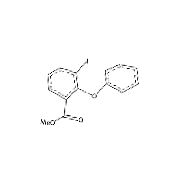 COC(=O)c1cccc(I)c1Oc1ccccc1